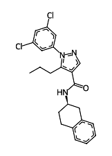 CCCc1c(C(=O)N[C@@H]2CCc3ccccc3C2)cnn1-c1cc(Cl)cc(Cl)c1